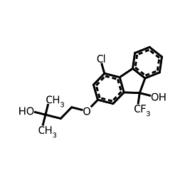 CC(C)(O)CCOc1cc(Cl)c2c(c1)C(O)(C(F)(F)F)c1ccccc1-2